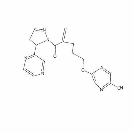 C=C(CCCOc1cnc(C#N)cn1)C(=O)N1N=CCC1c1cnccn1